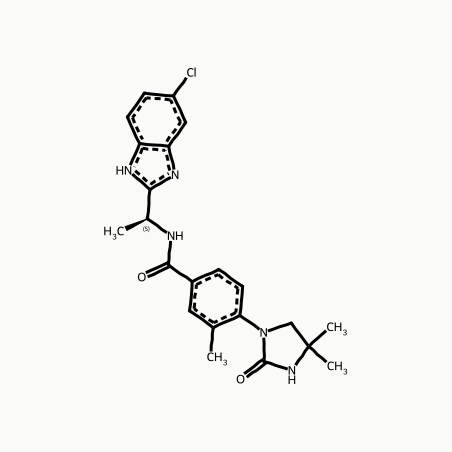 Cc1cc(C(=O)N[C@@H](C)c2nc3cc(Cl)ccc3[nH]2)ccc1N1CC(C)(C)NC1=O